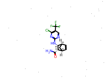 NC(=O)[C@@H]1[C@H](Nc2ncc(C(F)(F)F)c(Cl)n2)[C@H]2C=C[C@@H]1C2